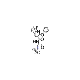 COCC(/C=C/S(C)(=O)=O)NC(=O)c1cnc(C(C)(F)F)nc1Oc1ccccc1